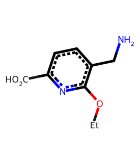 CCOc1nc(C(=O)O)ccc1CN